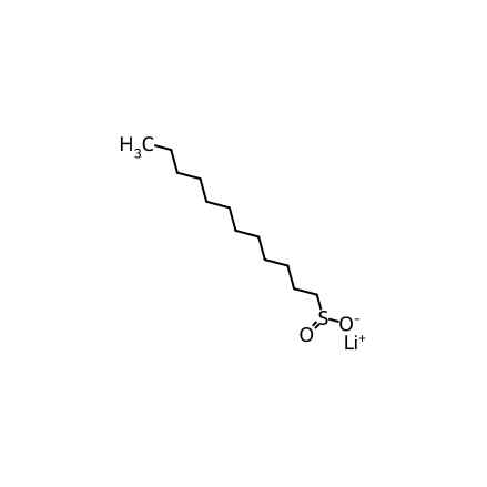 CCCCCCCCCCCCS(=O)[O-].[Li+]